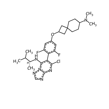 CC(C)[C@@H](C)Nc1c(-c2c(F)cc(OC3CC4(CCC(N(C)C)CC4)C3)cc2F)c(Cl)nc2ncnn12